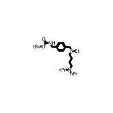 CCCN(CCC)CCCCN(CC)Cc1ccc(CNC(=O)OC(C)(C)C)cc1